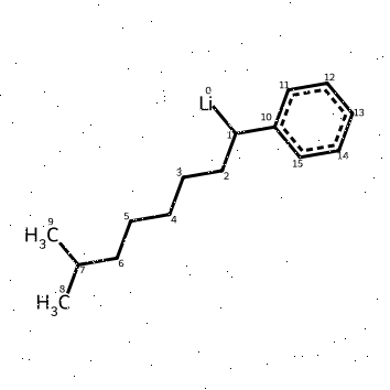 [Li][CH](CCCCCC(C)C)c1ccccc1